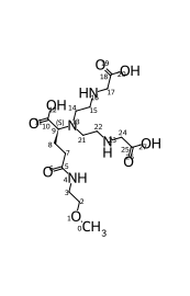 COCCNC(=O)CC[C@@H](C(=O)O)N(CCNCC(=O)O)CCNCC(=O)O